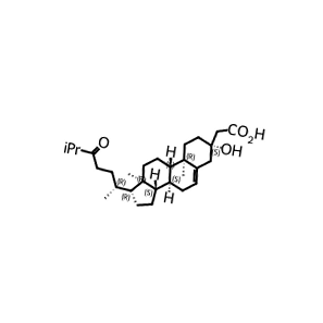 CC(C)C(=O)CC[C@@H](C)[C@H]1CC[C@H]2[C@@H]3CC=C4C[C@](O)(CC(=O)O)CC[C@]4(C)[C@H]3CC[C@]12C